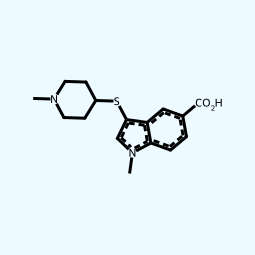 CN1CCC(Sc2cn(C)c3ccc(C(=O)O)cc23)CC1